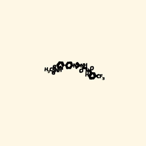 CS(=O)(=O)Nc1cccc([C@H]2CC[C@@H](N3CC(NC(=O)CNC(=O)c4cccc(C(F)(F)F)c4)C3)CC2)n1